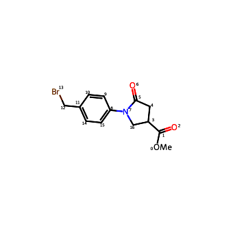 COC(=O)C1CC(=O)N(c2ccc(CBr)cc2)C1